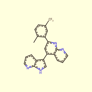 Cc1ccc(C(F)(F)F)cc1-c1cc(-c2c[nH]c3ncccc23)c2cccnc2n1